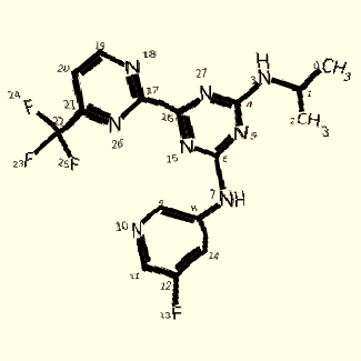 CC(C)Nc1nc(Nc2cncc(F)c2)nc(-c2nccc(C(F)(F)F)n2)n1